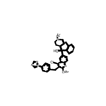 COc1nc2ccc(C(O)(C3CCN(C(C)=O)CC3)C3C=CC=CC3C)cc2c(Cl)c1Cc1ccc(-n2cncn2)cc1